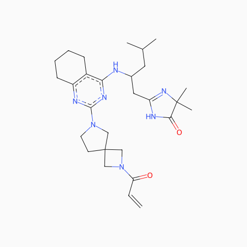 C=CC(=O)N1CC2(CCN(c3nc4c(c(NC(CC5=NC(C)(C)C(=O)N5)CC(C)C)n3)CCCC4)C2)C1